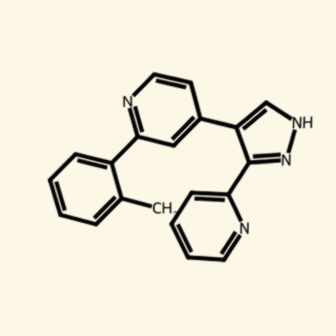 Cc1ccccc1-c1cc(-c2c[nH]nc2-c2ccccn2)ccn1